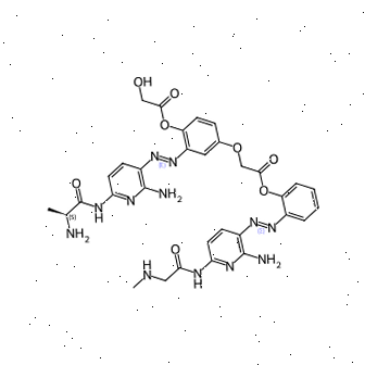 CNCC(=O)Nc1ccc(/N=N/c2ccccc2OC(=O)COc2ccc(OC(=O)CO)c(/N=N/c3ccc(NC(=O)[C@H](C)N)nc3N)c2)c(N)n1